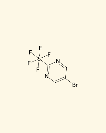 FS(F)(F)(F)(F)c1ncc(Br)cn1